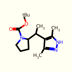 Cc1n[nH]c(C)c1C(C)C1CCCN1C(=O)OC(C)(C)C